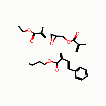 C=C(C)C(=O)OCC.C=C(C)C(=O)OCC1CO1.C=C(C=Cc1ccccc1)C(=O)OCCCC